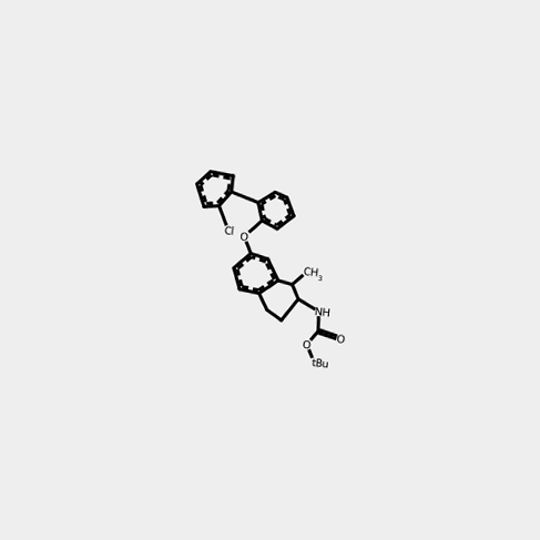 CC1c2cc(Oc3ccccc3-c3ccccc3Cl)ccc2CCC1NC(=O)OC(C)(C)C